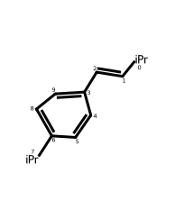 CC(C)C=Cc1ccc(C(C)C)cc1